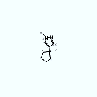 Cn1cc(C2(C)CCCC2)[c]n1